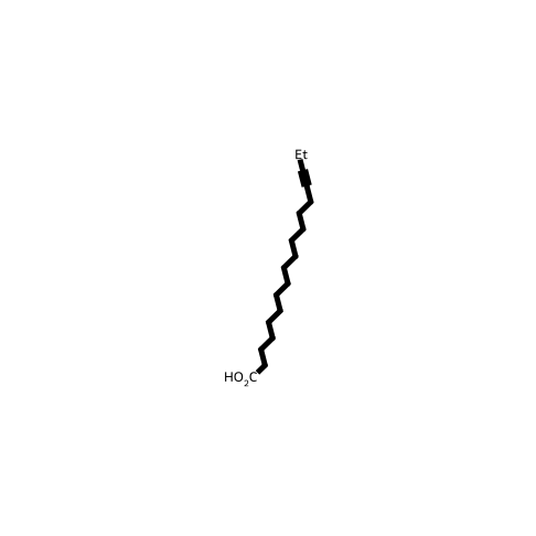 CCC#CCCCCCCCCCCCCCC(=O)O